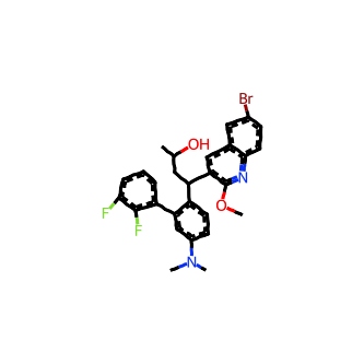 COc1nc2ccc(Br)cc2cc1C(CC(C)O)c1ccc(N(C)C)cc1-c1cccc(F)c1F